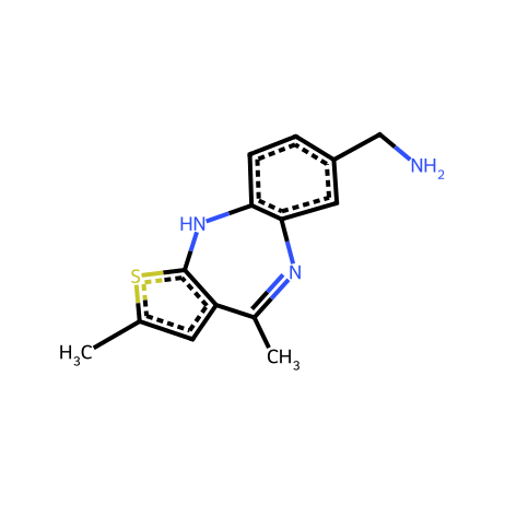 CC1=Nc2cc(CN)ccc2Nc2sc(C)cc21